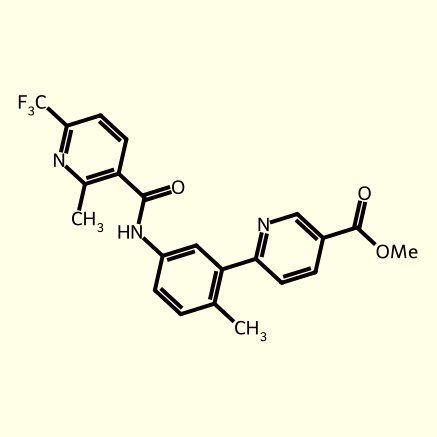 COC(=O)c1ccc(-c2cc(NC(=O)c3ccc(C(F)(F)F)nc3C)ccc2C)nc1